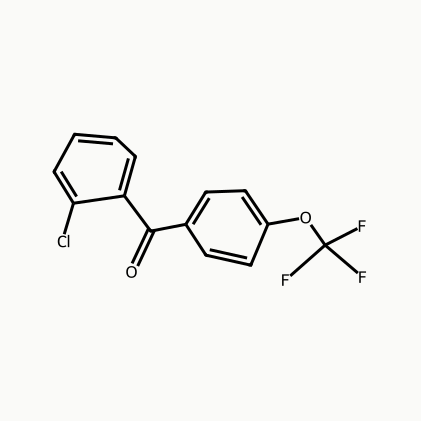 O=C(c1ccc(OC(F)(F)F)cc1)c1ccccc1Cl